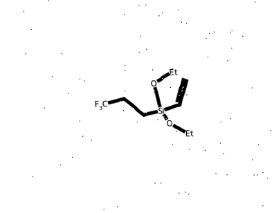 C=C[Si](CCC(F)(F)F)(OCC)OCC